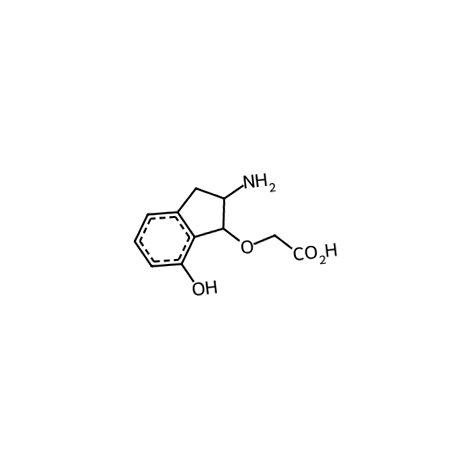 NC1Cc2cccc(O)c2C1OCC(=O)O